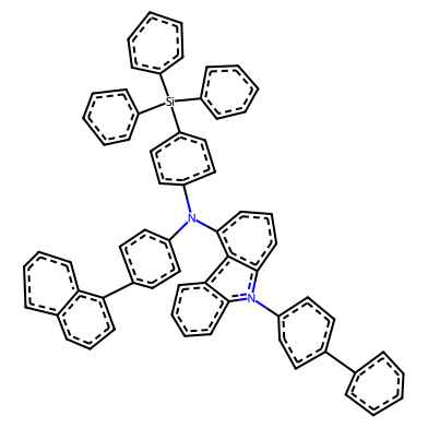 c1ccc(-c2ccc(-n3c4ccccc4c4c(N(c5ccc(-c6cccc7ccccc67)cc5)c5ccc([Si](c6ccccc6)(c6ccccc6)c6ccccc6)cc5)cccc43)cc2)cc1